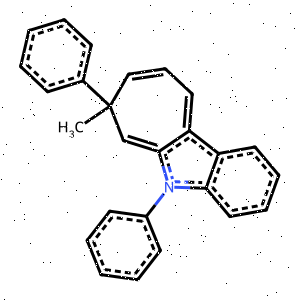 CC1(c2ccccc2)C=CC=c2c(n(-c3ccccc3)c3ccccc23)=C1